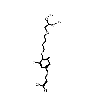 CCCOC(COCCCCOc1c(Cl)cc(OCC=C(Cl)Cl)cc1Cl)OCCC